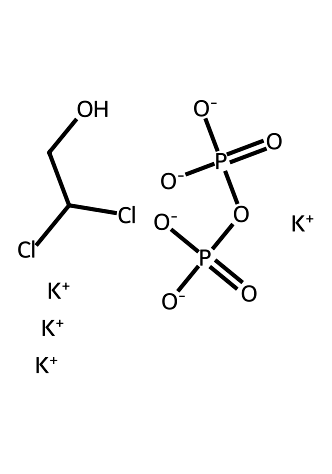 O=P([O-])([O-])OP(=O)([O-])[O-].OCC(Cl)Cl.[K+].[K+].[K+].[K+]